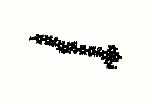 CNc1ccc(C2(c3ccc(NC(=O)c4ccc(-c5ccc(C(=O)Nc6ccc(-c7ccc(NC(=O)c8ccc(-c9ccc(C(C)=O)cc9)cc8)cc7C)c(C)c6)cc5)cc4)cc3)c3ccccc3-c3ccccc32)cc1